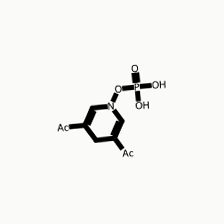 CC(=O)C1=CN(OP(=O)(O)O)C=C(C(C)=O)C1